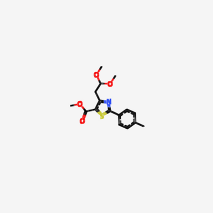 COC(=O)c1sc(-c2ccc(C)cc2)nc1CC(OC)OC